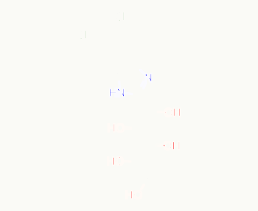 OCC(O)[C@@H](O)[C@H](O)C(O)c1nc2cc(Cl)c(Cl)cc2[nH]1